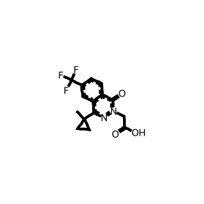 CC1(c2nn(CC(=O)O)c(=O)c3ccc(C(F)(F)F)cc23)CC1